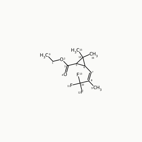 CCOC(=O)C1C(C=C(C)C(F)(F)F)C1(C)C